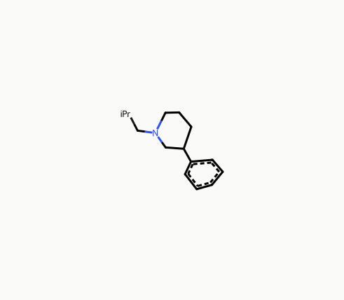 CC(C)CN1CCCC(c2ccccc2)C1